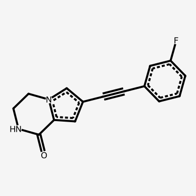 O=C1NCCn2cc(C#Cc3cccc(F)c3)cc21